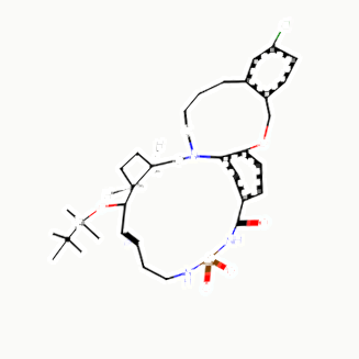 CC(C)(C)[Si](C)(C)OC1/C=C/CCNS(=O)(=O)NC(=O)c2ccc3c(c2)N(CCCCc2cc(Cl)ccc2CO3)C[C@@H]2CC[C@@H]12